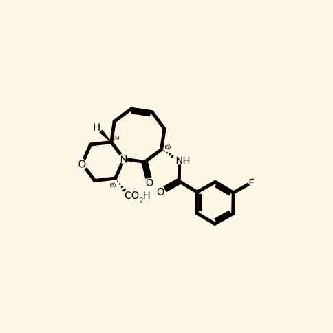 O=C(N[C@H]1CC=CC[C@H]2COC[C@@H](C(=O)O)N2C1=O)c1cccc(F)c1